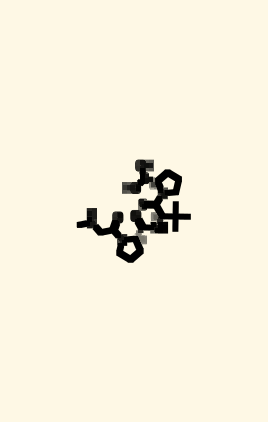 CNCC(=O)N1CCC[C@H]1C(=O)N[C@H](C(=S)N1CCC[C@H]1B(O)O)C(C)(C)C